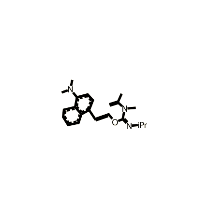 C=C(C)N(C)/C(=N\C(C)C)O/C=C/c1ccc(N(C)C)c2ccccc12